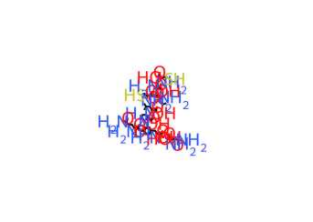 CC(C)C[C@H](N)C(=O)O.CC[C@H](C)[C@H](N)C(=O)OC(=O)[C@@H](N)CS.NC(=O)CC[C@H](N)C(=O)Oc1ccc(C[C@H](N)C(=O)O)cc1.NC(=O)C[C@H](N)C(=O)O.NCC(=O)O.N[C@@H](CS)C(=O)O.O=C(O)[C@@H]1CCCN1